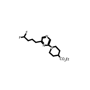 CCOC(=O)C1CCN(c2cncc(CCCC(F)F)n2)CC1